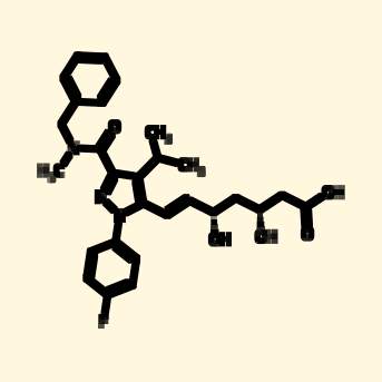 CC(C)c1c(C(=O)N(C)Cc2ccccc2)nn(-c2ccc(F)cc2)c1/C=C/[C@@H](O)C[C@@H](O)CC(=O)O